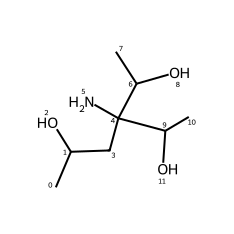 CC(O)CC(N)(C(C)O)C(C)O